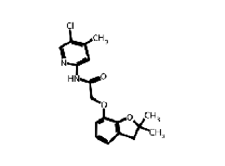 Cc1cc(NC(=O)COc2cccc3c2OC(C)(C)C3)ncc1Cl